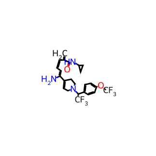 C=C(/C=C\C=C(/N)C1=CCN(C(c2ccc(OC(F)(F)F)cc2)C(F)(F)F)CC1)C(=O)NC1CC1